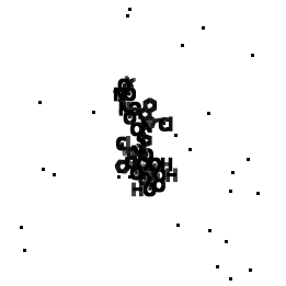 CN(CCN(C)C(=O)OC(C)(C)C)C(=O)Oc1cc2c(c3ccccc13)C(CCl)CN2C(=O)c1ccc(C(=O)N2C[C@@H](CCl)c3c2cc(O[C@@H]2O[C@H](C(=O)O)[C@@H](O)[C@H](O)[C@H]2O)c2ccccc32)s1